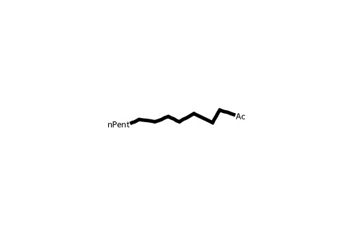 [CH2]CCCCCCCCCCCC(C)=O